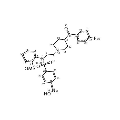 COc1ccccc1N(CCN1CCC(C(=O)c2ccc(F)cc2)CC1)S(=O)(=O)C1C=CC(=NO)C=C1